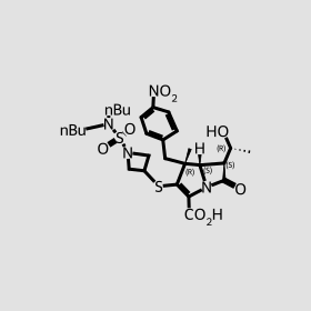 CCCCN(CCCC)S(=O)(=O)N1CC(SC2=C(C(=O)O)N3C(=O)[C@H]([C@@H](C)O)[C@H]3[C@@]2(C)Cc2ccc([N+](=O)[O-])cc2)C1